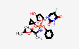 CC(C)OC(=O)[C@H](C)N[P@@](=O)(Oc1ccccc1)OC1([C@H]2O[C@@H](n3cc(F)c(=O)[nH]c3=O)C[C@@H]2O)CC1